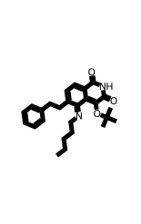 CCCCCN=C1C(CCc2ccccc2)=CC=C2C(=O)NC(=O)C(OC(C)(C)C)=C21